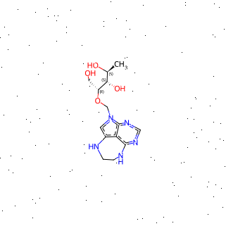 C[C@H](O)[C@H](O)[C@@H](CO)OCn1cc2c3c(ncnc31)NCCN2